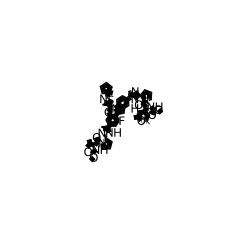 COC(=O)NC(C(=O)N1CCC[C@H]1c1ncc(-c2cc(F)c3c(c2)OC(c2cnc(C4(C)CCCC4)s2)n2c-3cc3cc(-c4cnc([C@@H]5CCCN5C(=O)C(NC(=O)OC)C5C=C(C)O[C@@H](C)C5)[nH]4)ccc32)[nH]1)C(C)C